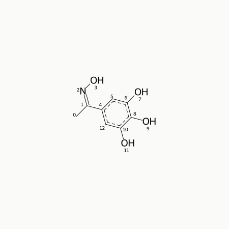 C/C(=N/O)c1cc(O)c(O)c(O)c1